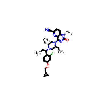 CCC1CN(C(CC)c2ccc(OCC3CC3)cc2F)[C@H](CC)CN1c1nc(=O)n(C)c2ccc(C#N)nc12